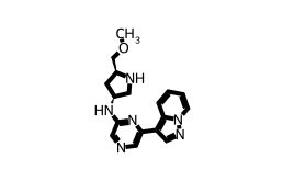 COC[C@@H]1C[C@@H](Nc2cncc(-c3cnn4ccccc34)n2)CN1